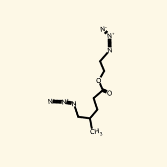 CC(CCC(=O)OCCN=[N+]=[N-])CN=[N+]=[N-]